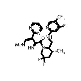 CN/C=C(\C(=N)C(=O)N1CC(F)(F)C[C@@H](C)C1CNc1cc(F)c(C(F)(F)F)cn1)c1ncccn1